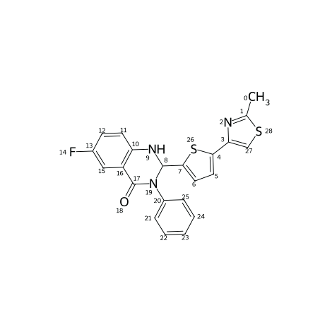 Cc1nc(-c2ccc(C3Nc4ccc(F)cc4C(=O)N3c3ccccc3)s2)cs1